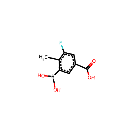 Cc1c(F)cc(C(=O)O)cc1B(O)O